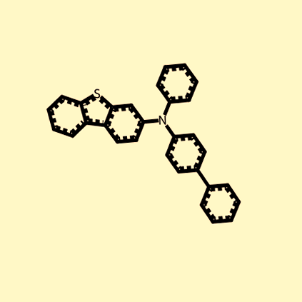 c1ccc(-c2ccc(N(c3ccccc3)c3ccc4c(c3)sc3ccccc34)cc2)cc1